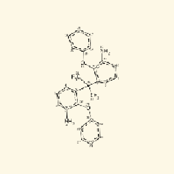 Nc1cccc(C(c2cccc(N)c2Oc2ccccc2)(C(F)(F)F)C(F)(F)F)c1Oc1ccccc1